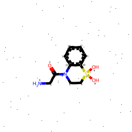 NCC(=O)N1CCS(O)(O)c2ccccc21